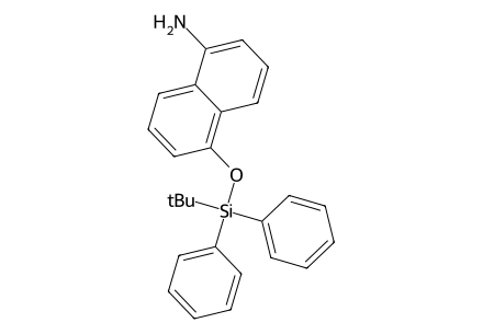 CC(C)(C)[Si](Oc1cccc2c(N)cccc12)(c1ccccc1)c1ccccc1